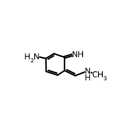 CN/C=C1/C=CC(N)=CC1=N